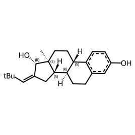 CC(C)(C)C=C1C[C@H]2[C@@H]3CCc4cc(O)ccc4[C@H]3CC[C@]2(C)[C@H]1O